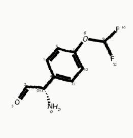 N[C@H](C=O)c1ccc(OC(F)F)cc1